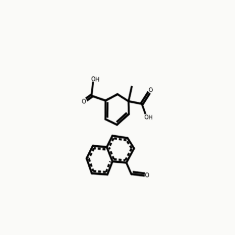 CC1(C(=O)O)C=CC=C(C(=O)O)C1.O=Cc1cccc2ccccc12